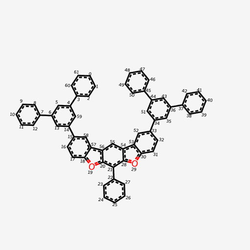 c1ccc(-c2cc(-c3ccccc3)cc(-c3ccc4oc5c(-c6ccccc6)c6oc7ccc(-c8cc(-c9ccccc9)cc(-c9ccccc9)c8)cc7c6cc5c4c3)c2)cc1